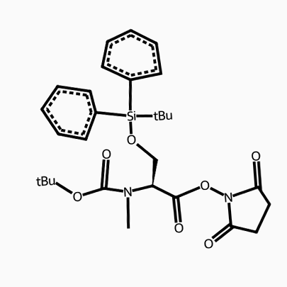 CN(C(=O)OC(C)(C)C)[C@@H](CO[Si](c1ccccc1)(c1ccccc1)C(C)(C)C)C(=O)ON1C(=O)CCC1=O